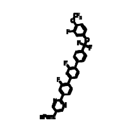 CCCCCc1cnc(-c2ccc(-c3ccc(-c4ccc(C(F)(F)Oc5ccc(OC(F)(F)F)c(F)c5)cc4)c(F)c3)c(F)c2)nc1